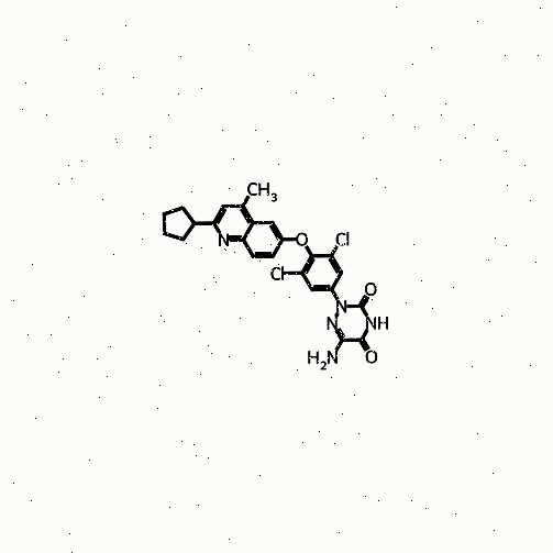 Cc1cc(C2CCCC2)nc2ccc(Oc3c(Cl)cc(-n4nc(N)c(=O)[nH]c4=O)cc3Cl)cc12